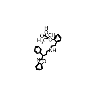 CC(C)(Oc1ccccc1CCNCCC(c1ccccc1)c1nc2ccccc2o1)C(=O)O